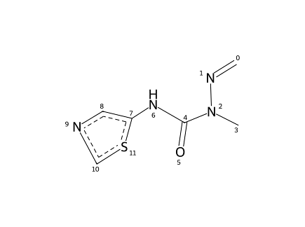 C=NN(C)C(=O)Nc1cncs1